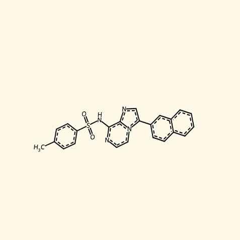 Cc1ccc(S(=O)(=O)Nc2nccn3c(-c4ccc5ccccc5c4)cnc23)cc1